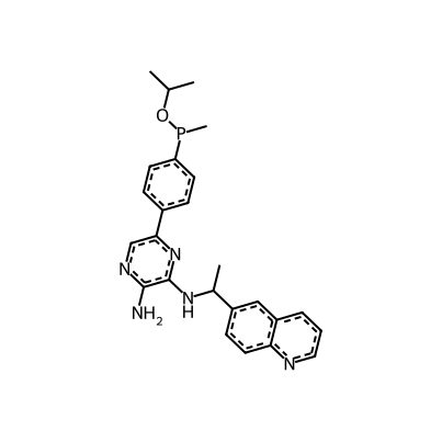 CC(C)OP(C)c1ccc(-c2cnc(N)c(NC(C)c3ccc4ncccc4c3)n2)cc1